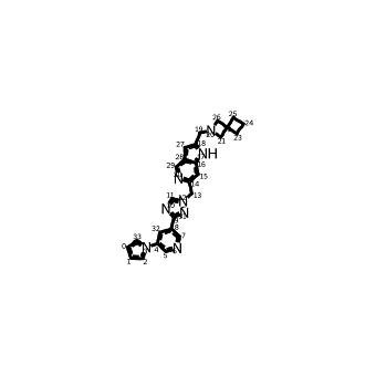 c1ccn(-c2cncc(-c3ncn(Cc4cc5[nH]c(CN6CC7(CCC7)C6)cc5cn4)n3)c2)c1